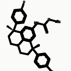 CCCCOC(=O)Nc1cc2c3c(c1)[C@](C)(c1ccc(F)cc1)CCN3CC[C@@]2(C)c1ccc(F)cc1